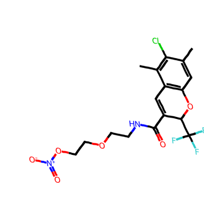 Cc1cc2c(c(C)c1Cl)C=C(C(=O)NCCOCCO[N+](=O)[O-])C(C(F)(F)F)O2